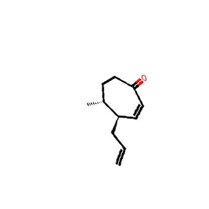 C=CC[C@@H]1C=CC(=O)CC[C@H]1C